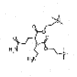 C[Si](C)(C)CCOC(=O)[C@H](CCC(N)=O)N(CCN)C(=O)OCC[Si](C)(C)C